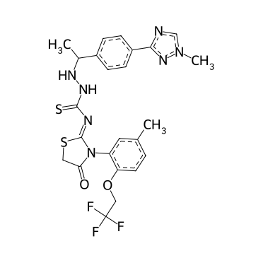 Cc1ccc(OCC(F)(F)F)c(N2C(=O)CS/C2=N\C(=S)NNC(C)c2ccc(-c3ncn(C)n3)cc2)c1